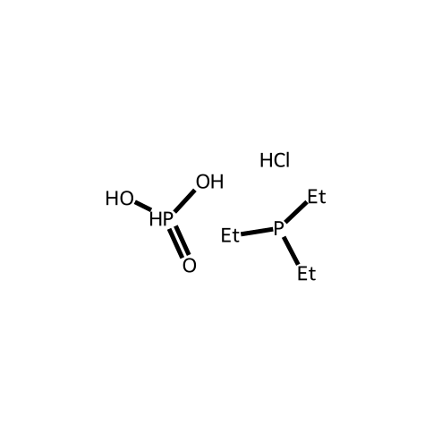 CCP(CC)CC.Cl.O=[PH](O)O